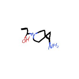 C=CC(O)N1CCC2(CC1)CC2N